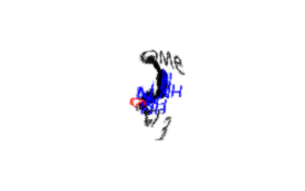 COCC#Cc1cnc2[nH]cc(-c3cncc(NC(=O)[C@@H](C)NCC(F)(F)F)n3)c2c1